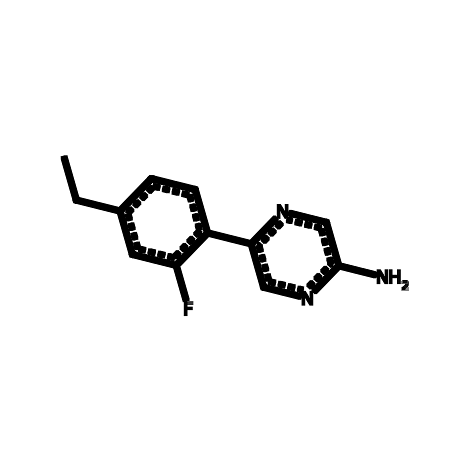 CCc1ccc(-c2cnc(N)cn2)c(F)c1